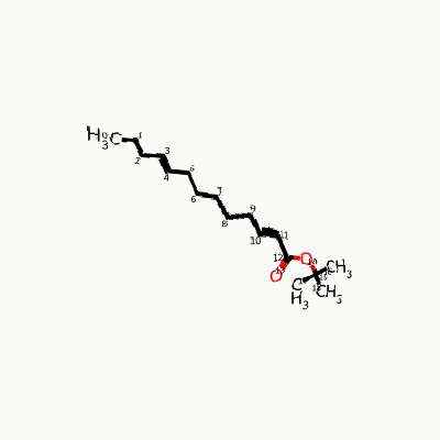 CCCC=CCCCCCC=CC(=O)OC(C)(C)C